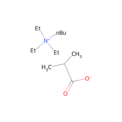 CC(C)C(=O)[O-].CCCC[N+](CC)(CC)CC